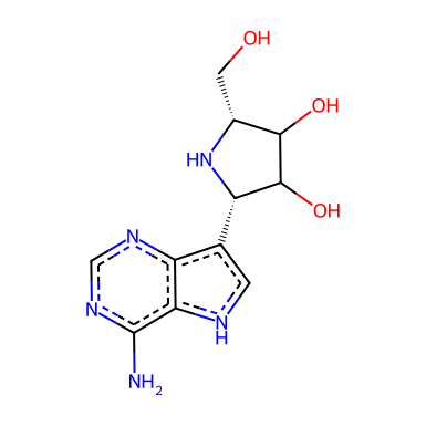 Nc1ncnc2c([C@@H]3N[C@H](CO)C(O)C3O)c[nH]c12